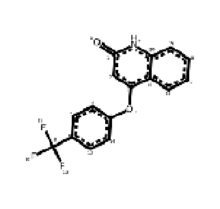 O=c1cc(Oc2ccc(C(F)(F)F)cc2)c2ccccc2[nH]1